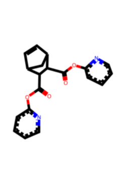 O=C(Oc1ccccn1)C1C2C=CC(C2)C1C(=O)Oc1ccccn1